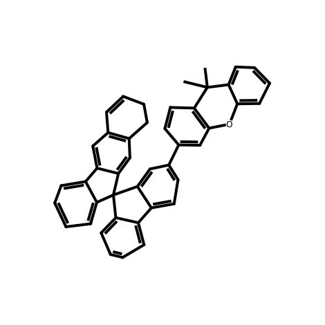 CC1(C)c2ccccc2Oc2cc(-c3ccc4c(c3)C3(c5ccccc5-4)c4ccccc4-c4cc5c(cc43)CCC=C5)ccc21